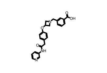 O=C(Cc1ccc(OC2CN(Cc3cccc(C(=O)O)c3)C2)cc1)Nc1cccnc1